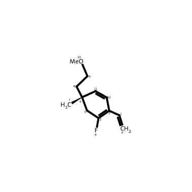 C=CC1=C(F)C[C@](C)(CCOC)C=C1